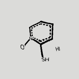 I.[O-][n+]1ccccc1S